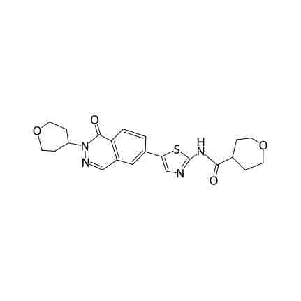 O=C(Nc1ncc(-c2ccc3c(=O)n(C4CCOCC4)ncc3c2)s1)C1CCOCC1